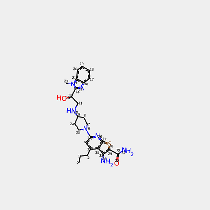 CCCc1cc(N2CCC(NCC(O)c3nc4ccccc4n3C)CC2)nc2sc(C(N)=O)c(N)c12